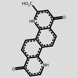 O=C(O)c1cc(=O)c2ccc3c(ccc4c(=O)cc[nH]c43)c2[nH]1